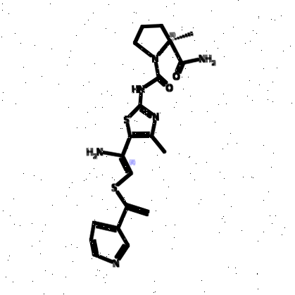 C=C(S/C=C(\N)c1sc(NC(=O)N2CCC[C@@]2(C)C(N)=O)nc1C)c1cccnc1